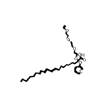 CCCCCCCCCCCCCCCCCCCC(OCCOCCOCCOCC)(Oc1ccccc1)C(=O)O